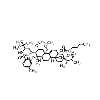 CCCCOC(=O)[C@@H]1[C@@](C)([C@H](C)C(C)C)CC[C@]2(C)[C@H]3CC[C@H]4C(C)(C)[C@@H](OC[C@@H](NS(=O)(=O)c5ccc(C)cc5)C(C)(C)C)[C@H](OC)C[C@]4(COC)C3=CC[C@@]12C